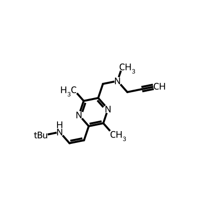 C#CCN(C)Cc1nc(C)c(/C=C\NC(C)(C)C)nc1C